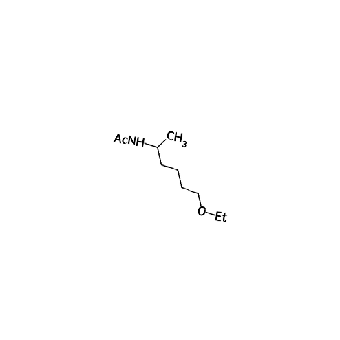 CCOCCCCC(C)NC(C)=O